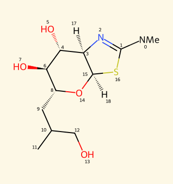 CNC1=N[C@@H]2[C@@H](O)[C@H](O)[C@@H](CC(C)CO)O[C@@H]2S1